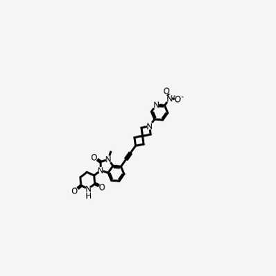 Cn1c(=O)n(C2CCC(=O)NC2=O)c2cccc(C#CC3CC4(C3)CN(c3ccc([N+](=O)[O-])nc3)C4)c21